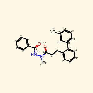 CC(C)N(NC(=O)c1ccccc1)C(=O)CCc1ccccc1-c1cccc(C#N)c1